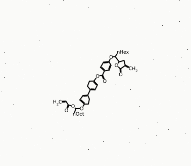 C=CC(=O)OC(CCCCCCCC)OC1=CC=C(C2=CC=C(OC(=O)c3ccc(OC(CCCCCC)C4CC(=C)C(=O)O4)cc3)CC2)CC1